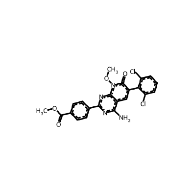 COC(=O)c1ccc(-c2nc(N)c3cc(-c4c(Cl)cccc4Cl)c(=O)n(OC)c3n2)cc1